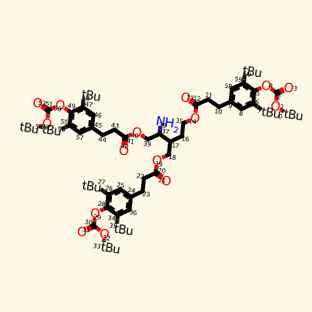 CC(C)(C)OC(=O)Oc1c(C(C)(C)C)cc(CCC(=O)OCCC(COC(=O)CCc2cc(C(C)(C)C)c(OC(=O)OC(C)(C)C)c(C(C)(C)C)c2)C(N)COC(=O)CCc2cc(C(C)(C)C)c(OC(=O)OC(C)(C)C)c(C(C)(C)C)c2)cc1C(C)(C)C